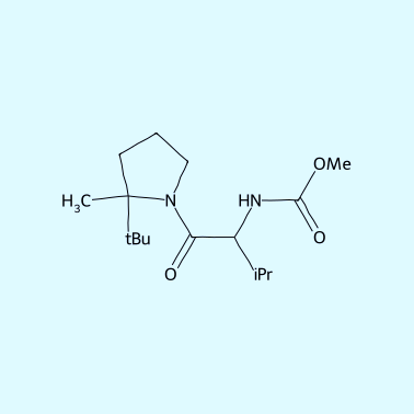 COC(=O)NC(C(=O)N1CCCC1(C)C(C)(C)C)C(C)C